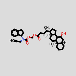 C#CCN(C(=O)OCOC(=O)CC[C@@H](C)C1CCC2C3C(CC[C@@]21C)[C@@]1(C)CCCC[C@H]1C[C@@H]3O)[C@@H]1CCc2ccccc21